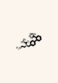 CC(C)NC(=O)N(CCN)Cc1ccc(-c2ccccc2-c2nnn[nH]2)cc1